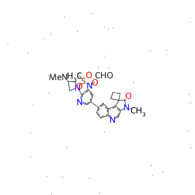 CNC1CN(c2ncc(-c3ccc4ncc5c(c4c3)C3(CCC3)C(=O)N5C)cc2N(OC=O)S(C)(=O)=O)C1